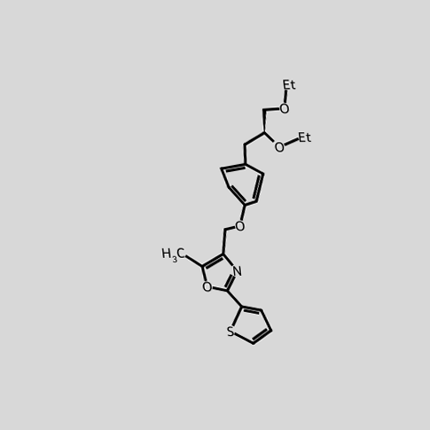 CCOC[C@H](Cc1ccc(OCc2nc(-c3cccs3)oc2C)cc1)OCC